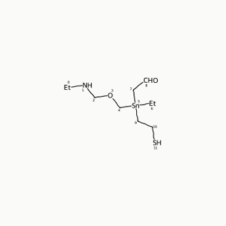 CCNCO[CH2][Sn]([CH2]C)([CH2]C=O)[CH2]CS